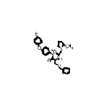 CC1CCCN1CC(=O)NC(COCc1ccccc1)C(=O)Nc1ccc(Oc2ccc(F)cc2)cc1